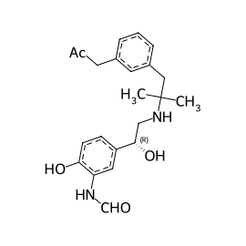 CC(=O)Cc1cccc(CC(C)(C)NC[C@H](O)c2ccc(O)c(NC=O)c2)c1